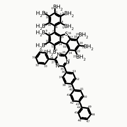 Bc1c(B)c(B)c(-c2c(B)c(B)c(B)c3c2sc2c(B)c(B)c(B)c(-c4nc(-c5ccccc5)nc(-c5ccc(-c6ccc(-c7ccccc7)cc6)cc5)n4)c23)c(B)c1B